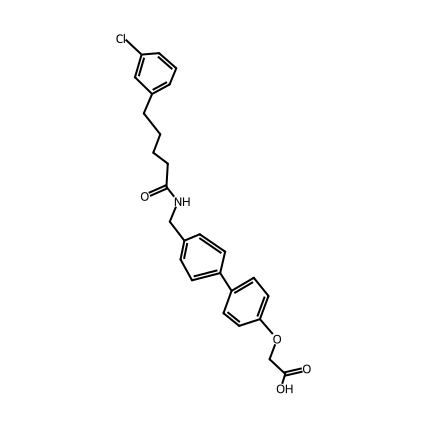 O=C(O)COc1ccc(-c2ccc(CNC(=O)CCCCc3cccc(Cl)c3)cc2)cc1